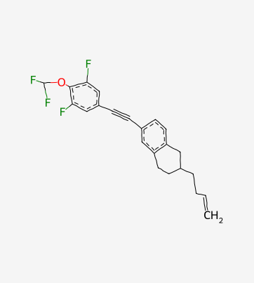 C=CCCC1CCc2cc(C#Cc3cc(F)c(OC(F)F)c(F)c3)ccc2C1